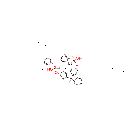 CCC(O)(Oc1ccccc1)Oc1ccc(C(C)(c2ccccc2)c2ccc(OC(O)(CC)Oc3ccccc3)cc2)cc1